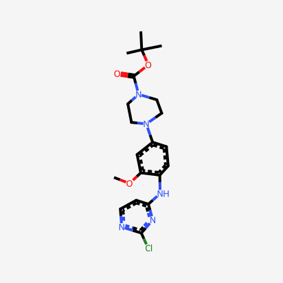 COc1cc(N2CCN(C(=O)OC(C)(C)C)CC2)ccc1Nc1ccnc(Cl)n1